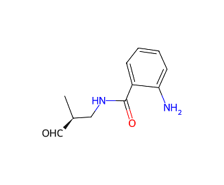 C[C@H](C=O)CNC(=O)c1ccccc1N